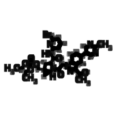 CCOP(=O)(OCC)OC[C@@]12C[C@@H]1N(C(=O)Cn1nc(C(C)=O)c3cc(-c4cnc(C)nc4)ccc31)[C@H](C(=O)Nc1cccc(Br)n1)C2